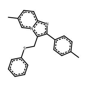 Cc1ccc(-c2nc3ccc(C)cn3c2CSc2ccccc2)cc1